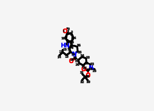 COc1ccc2c3c([nH]c2c1)C(CC(C)C)N(C(=O)[C@H]1CC[C@H](CN(C)C(=O)OC(C)(C)C)CC1)CC3